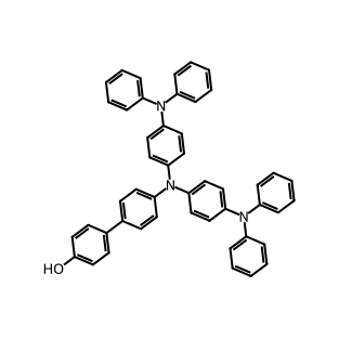 Oc1ccc(-c2ccc(N(c3ccc(N(c4ccccc4)c4ccccc4)cc3)c3ccc(N(c4ccccc4)c4ccccc4)cc3)cc2)cc1